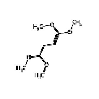 COC(=CCC(OC)OC)OC